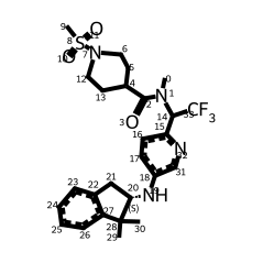 CN(C(=O)C1CCN(S(C)(=O)=O)CC1)C(c1ccc(N[C@H]2Cc3ccccc3C2(C)C)cn1)C(F)(F)F